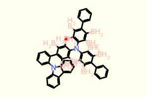 Bc1c(B)c(N(c2c(B)c(B)c(-c3ccccc3)c(B)c2B)c2c(B)c(B)c(-c3ccccc3-n3c4ccccc4c4ccccc43)c(B)c2B)c(B)c(B)c1-c1ccccc1